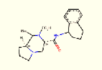 CC(C)(C)C1[C@@H]2CCCN2C[C@@H](C(=O)NC2CCCc3ccccc32)N1C(=O)O